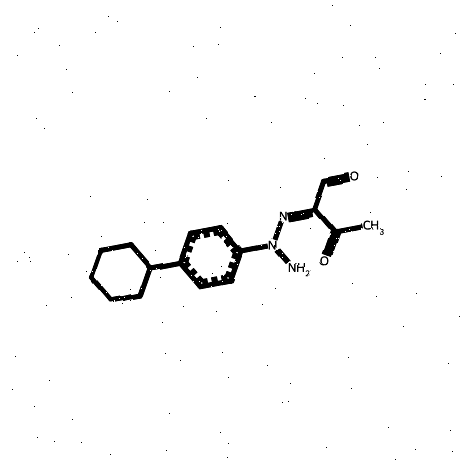 CC(=O)/C(C=O)=N\N(N)c1ccc(C2CCCCC2)cc1